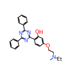 CCN(C)CCOc1ccc(-c2nc(-c3ccccc3)nc(-c3ccccc3)n2)c(O)c1